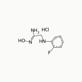 Cl.NC(CNc1ccccc1F)=NO